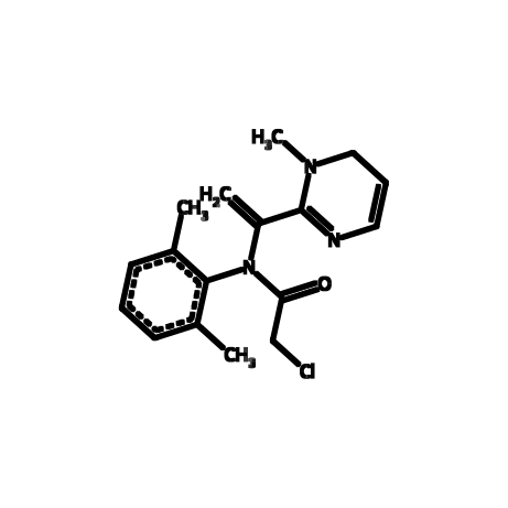 C=C(C1=NC=CCN1C)N(C(=O)CCl)c1c(C)cccc1C